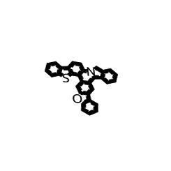 c1ccc2c(c1)cn1c3ccc4c5ccccc5sc4c3c3cc4oc5ccccc5c4cc3c21